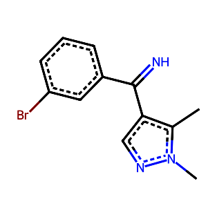 Cc1c(C(=N)c2cccc(Br)c2)cnn1C